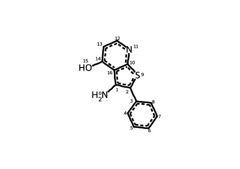 Nc1c(-c2ccccc2)sc2nccc(O)c12